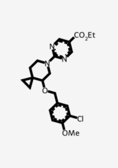 CCOC(=O)c1cnc(N2CCC3(CC3)C(OCc3ccc(OC)c(Cl)c3)C2)nc1